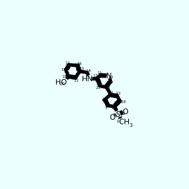 CS(=O)(=O)c1ccc(-c2cncc(NCc3cccc(O)c3)c2)cc1